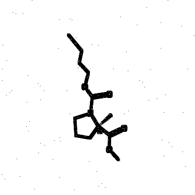 CCCCOC(=O)N1CCC[C@]1(C)C(=O)OC